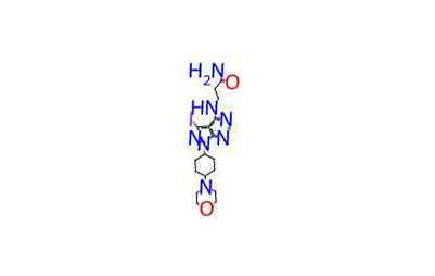 NC(=O)CCNc1ncnc2c1c(I)nn2C1CCC(N2CCOCC2)CC1